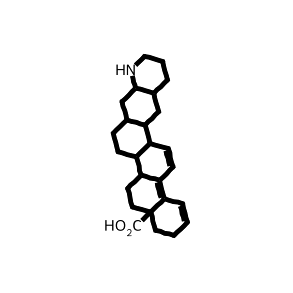 O=C(O)C12CCC=CC1=C1C=CC3C4CC5CCCNC5CC4CCC3C1CC2